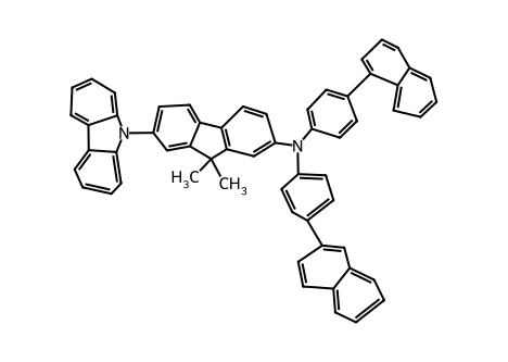 CC1(C)c2cc(N(c3ccc(-c4ccc5ccccc5c4)cc3)c3ccc(-c4cccc5ccccc45)cc3)ccc2-c2ccc(-n3c4ccccc4c4ccccc43)cc21